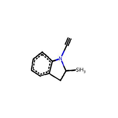 C#CN1c2ccccc2CC1[SiH3]